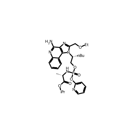 CCCC[C@H](COP(=O)(N[C@@H](C)C(=O)OC(C)C)Oc1ccccn1)n1c(COCC)nc2c(N)nc3ccccc3c21